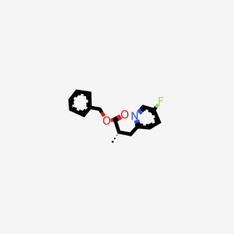 C[C@@H](Cc1ccc(F)cn1)C(=O)OCc1ccccc1